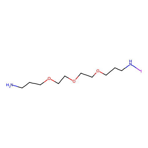 NCCCOCCOCCOCCCNI